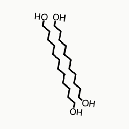 OCCCCCCCCCCCCO.OCCCCCCCCCCCO